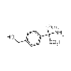 CCCCCC(N)(C(=O)O)c1ccc(CO)cc1